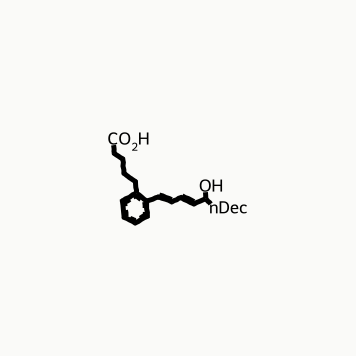 CCCCCCCCCCC(O)C=CC=Cc1ccccc1CCCCC(=O)O